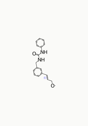 [O]C/C=C/c1cccc(CNC(=O)Nc2ccccc2)c1